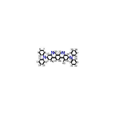 Cc1cc(N(c2ccccc2)c2ccccc2)cc2ncc3c4cnc5cc(N(c6ccccc6)c6ccccc6)cc(C)c5c4ccc3c12